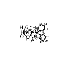 CC1(C)NC(=O)OCC1OC(c1ccccc1)(c1ccccc1)C(C)(C)C